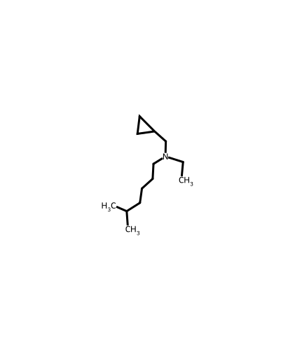 CCN(CCCCC(C)C)CC1CC1